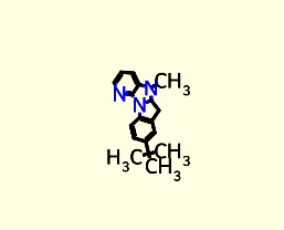 CN1c2cccnc2N2c3ccc(C(C)(C)C)cc3CC12